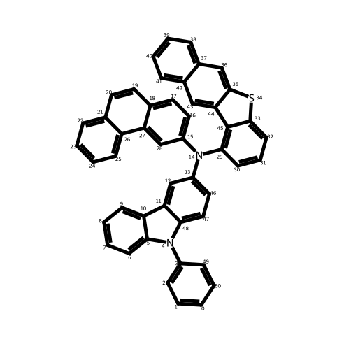 c1ccc(-n2c3ccccc3c3cc(N(c4ccc5ccc6ccccc6c5c4)c4cccc5sc6cc7ccccc7cc6c45)ccc32)cc1